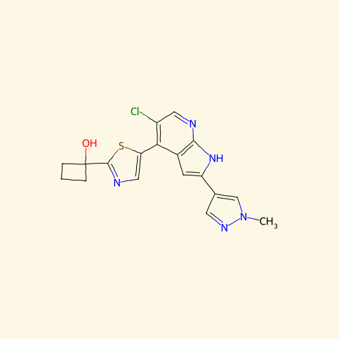 Cn1cc(-c2cc3c(-c4cnc(C5(O)CCC5)s4)c(Cl)cnc3[nH]2)cn1